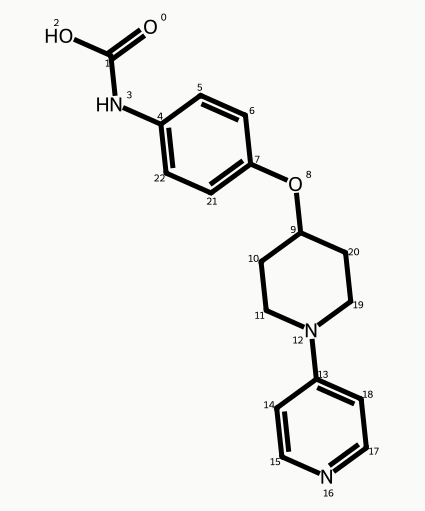 O=C(O)Nc1ccc(OC2CCN(c3ccncc3)CC2)cc1